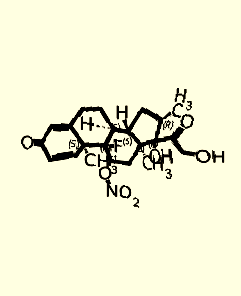 C[C@@H]1C[C@H]2[C@@H]3CCC4=CC(=O)C=C[C@]4(C)[C@@]3(F)[C@@H](O[N+](=O)[O-])C[C@]2(C)[C@@]1(O)C(=O)CO